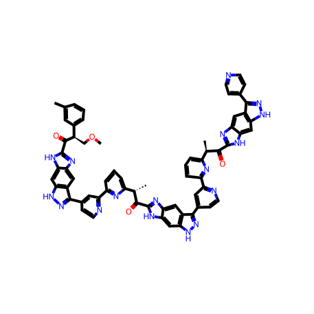 COC[C@@H](C(=O)c1nc2cc3c(-c4ccnc(-c5cccc([C@H](C)C(=O)c6nc7cc8c(-c9ccnc(-c%10cccc([C@@H](C)C(=O)c%11nc%12cc%13c(-c%14ccncc%14)n[nH]c%13cc%12[nH]%11)n%10)c9)n[nH]c8cc7[nH]6)n5)c4)n[nH]c3cc2[nH]1)c1cccc(C)c1